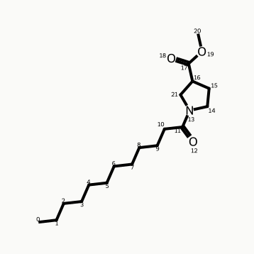 CCCCCCCCCCCC(=O)N1CCC(C(=O)OC)C1